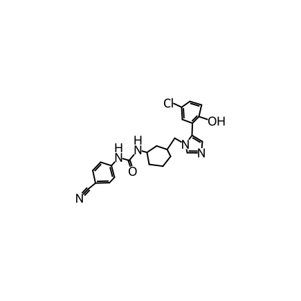 N#Cc1ccc(NC(=O)NC2CCCC(Cn3cncc3-c3cc(Cl)ccc3O)C2)cc1